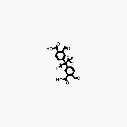 O=Cc1cc(C(c2ccc(C=O)c(C(=O)O)c2)(C(F)(F)F)C(F)(F)F)ccc1C(=O)O